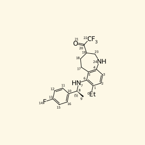 CCc1ccc2c(c1N[C@@H](C)c1ccc(F)cc1)CCC(C(=O)C(F)(F)F)CN2